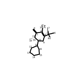 C=C1C(CC)=C(C(C)(I)I)CC(C2CCCCC2)[C@@H]1C